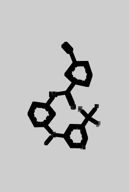 C#Cc1cccc(C(=O)Nc2cccc(N(C)c3cncc(C(F)(F)F)c3)c2)c1